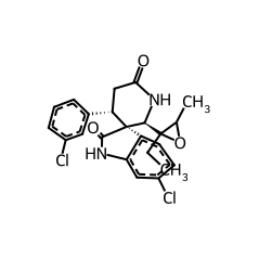 CCC1([C@@H]2NC(=O)C[C@@H](c3cccc(Cl)c3)[C@]23C(=O)Nc2cc(Cl)ccc23)OC1C